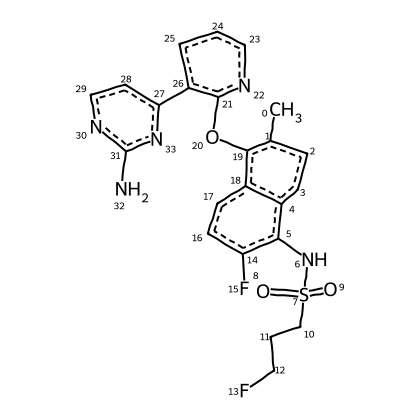 Cc1ccc2c(NS(=O)(=O)CCCF)c(F)ccc2c1Oc1ncccc1-c1ccnc(N)n1